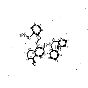 CCCOc1ccccc1OCc1c(O[C@@H](Cc2ncc[nH]2)c2ccccc2)ccc2c1CCCC2=O